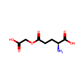 N[C@@H](CCC(=O)OCC(=O)O)C(=O)O